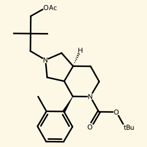 CC(=O)OCC(C)(C)CN1CC2[C@H](CCN(C(=O)OC(C)(C)C)[C@H]2c2ccccc2C)C1